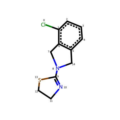 Clc1cccc2c1CN(C1=NCCS1)C2